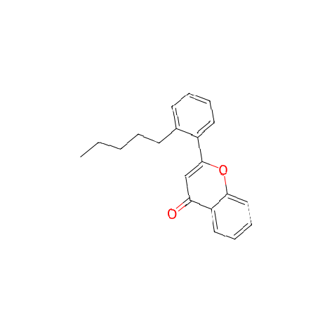 CCCCCc1ccccc1-c1cc(=O)c2ccccc2o1